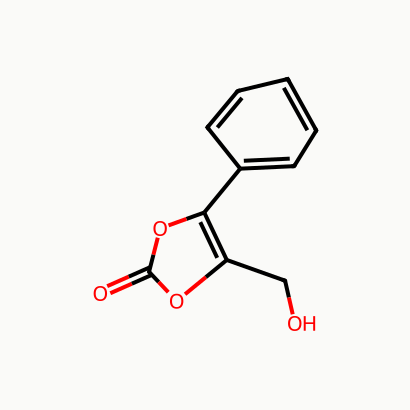 O=c1oc(CO)c(-c2ccccc2)o1